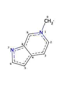 [CH2]n1ccc2ccnc-2c1